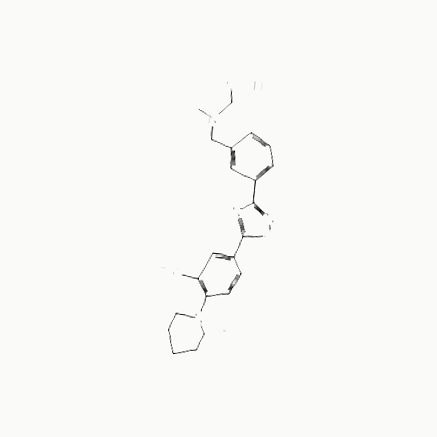 C[C@@H]1CCCCN1c1ccc(-c2nc(-c3cccc(CN(C)CC(=O)O)c3)no2)cc1C(F)(F)F